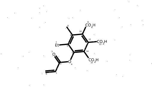 C=CC(=O)Oc1c(CC)c(C)c(C(=O)O)c(C(=O)O)c1C(=O)O